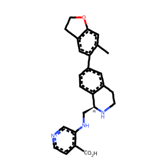 Cc1cc2c(cc1-c1ccc3c(c1)CCN[C@H]3CNc1cnccc1C(=O)O)CCO2